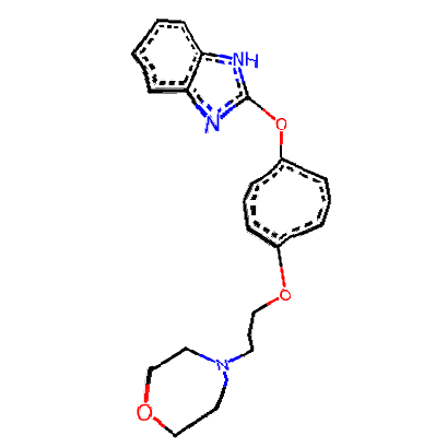 c1ccc2[nH]c(Oc3ccc(OCCN4CCOCC4)cc3)nc2c1